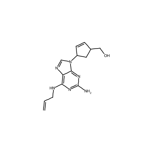 C=CCNc1nc(N)nc2c1ncn2C1C=CC(CO)C1